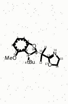 COc1cccc2c1P(C(C)(C)C)[C@@H](C(C)(C)C1=NCCO1)O2